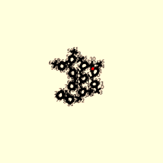 CC(C)(C)c1ccc(N(c2ccc(C(C)(C)C)cc2)c2cc3c4c(c2)N(c2cc(C(C)(C)C)cc(C(C)(C)C)c2)c2cc(-n5c6ccc(C(C)(C)C)cc6c6cc(C(C)(C)C)ccc65)ccc2B4c2ccc(-n4c5ccccc5c5ccccc54)cc2N3c2cc(C(C)(C)C)cc(C(C)(C)C)c2)cc1